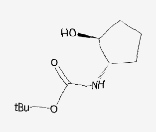 CC(C)(C)OC(=O)N[C@H]1CCC[C@@H]1O